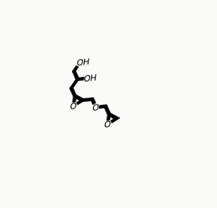 OCC(O)CC1OC1COCC1CO1